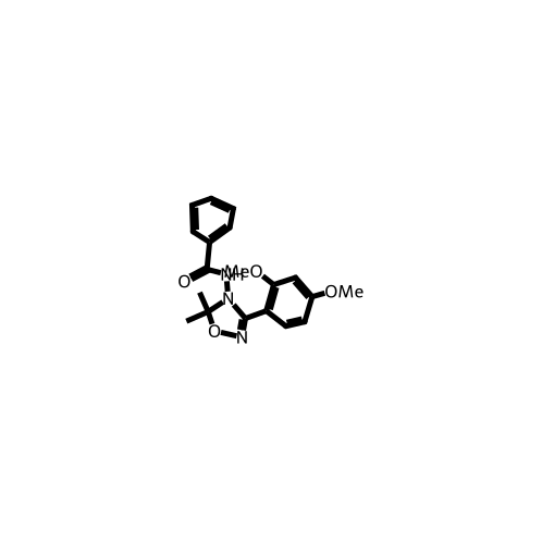 COc1ccc(C2=NOC(C)(C)N2NC(=O)c2ccccc2)c(OC)c1